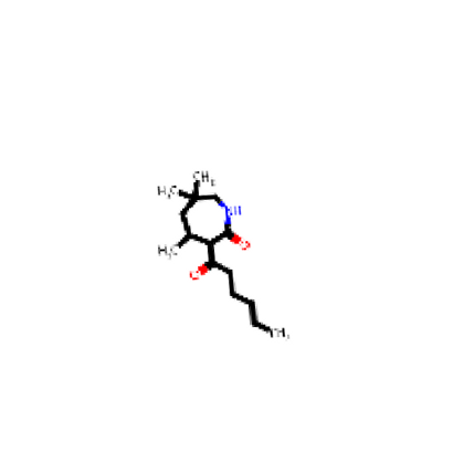 CCCCCC(=O)C1C(=O)NCC(C)(C)CC1C